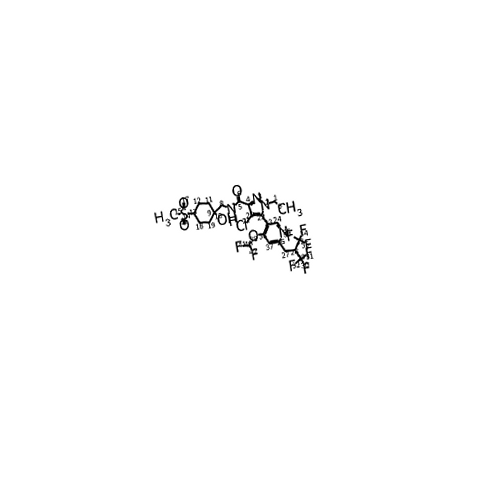 CCn1nc(C(=O)NCC2(O)CCC(S(C)(=O)=O)CC2)c(Cl)c1-c1cnc(CC(C(F)(F)F)C(F)(F)F)cc1OC(F)F